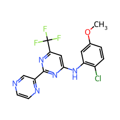 COc1ccc(Cl)c(Nc2cc(C(F)(F)F)nc(-c3cnccn3)n2)c1